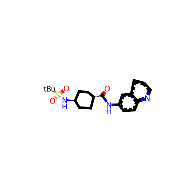 CC(C)(C)S(=O)(=O)N[C@H]1CC[C@H](C(=O)Nc2ccc3ncccc3c2)CC1